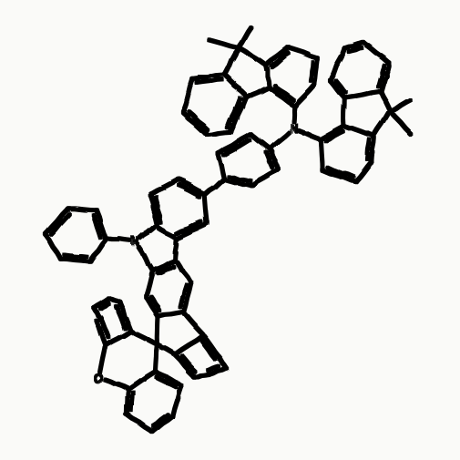 CC1(C)c2ccccc2-c2c(N(c3ccc(-c4ccc5c(c4)c4cc6c(cc4n5-c4ccccc4)C4(c5ccccc5Oc5ccccc54)c4ccccc4-6)cc3)c3cccc4c3-c3ccccc3C4(C)C)cccc21